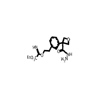 CCOC(=O)C(=N)OCCc1cccc(C2(C(=O)NN)COC2)c1